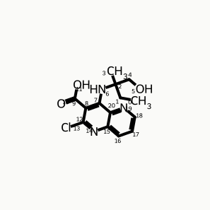 CCC(C)(CO)Nc1c(C(=O)O)c(Cl)nc2cccnc12